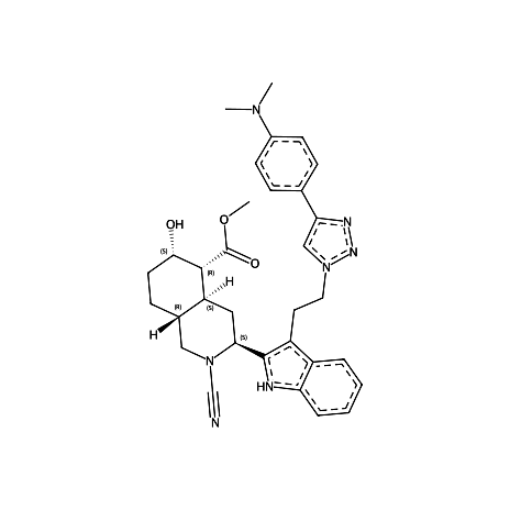 COC(=O)[C@@H]1[C@H]2C[C@@H](c3[nH]c4ccccc4c3CCn3cc(-c4ccc(N(C)C)cc4)nn3)N(C#N)C[C@@H]2CC[C@@H]1O